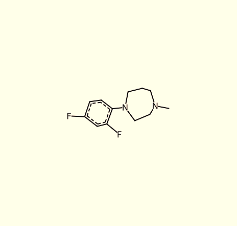 CN1CCCN(c2ccc(F)cc2F)CC1